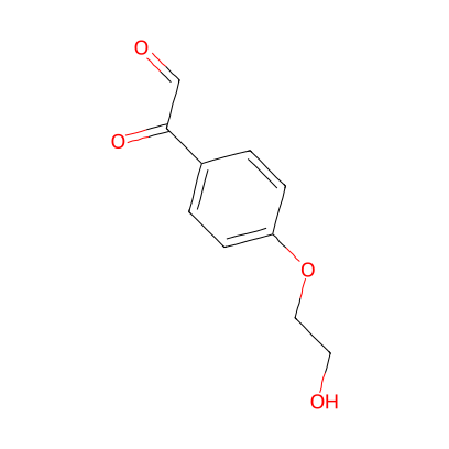 O=CC(=O)c1ccc(OCCO)cc1